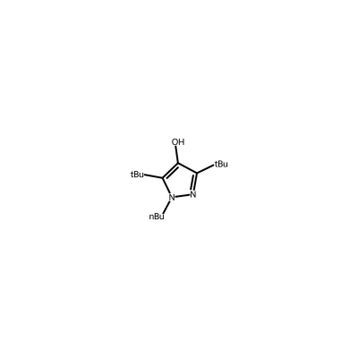 CCCCn1nc(C(C)(C)C)c(O)c1C(C)(C)C